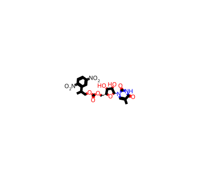 Cc1cn([C@@H]2O[C@H](COC(=O)OCC(C)c3cc([N+](=O)[O-])ccc3[N+](=O)[O-])C(O)C2O)c(=O)[nH]c1=O